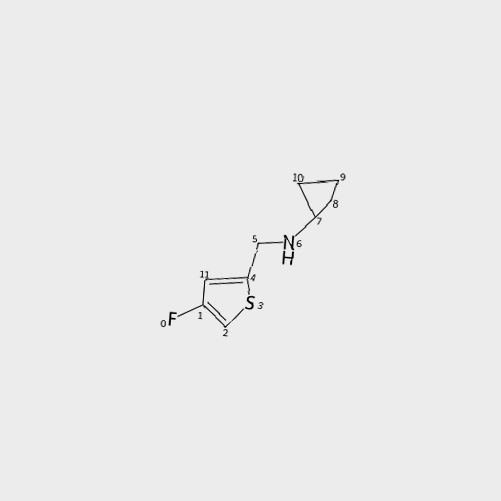 Fc1csc(CNC2CCC2)c1